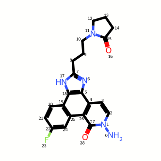 Nn1ccc2c3nc(CCCN4CCCC4=O)[nH]c3c3ccc(F)cc3c2c1=O